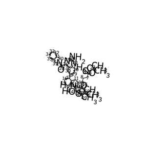 CC(C)(C)OC(=O)CCCC(Cc1ccccc1-c1ccc2nc(N)nc(C(=O)N3Cc4ccccc4C3)c2c1)[C@](N)(C(=O)O)C(=O)OC(C)(C)C